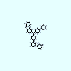 C1=Cc2c(oc3c(-c4ccc(N(c5ccc(-c6ccccc6)cc5)c5ccc6sc7ccccc7c6c5)cc4)cccc23)NC1